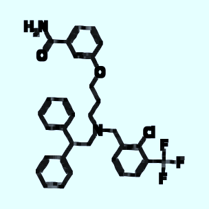 NC(=O)c1cccc(OCCCN(Cc2cccc(C(F)(F)F)c2Cl)CC(c2ccccc2)c2ccccc2)c1